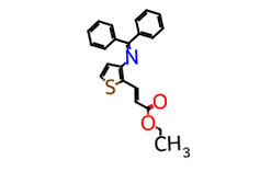 CCOC(=O)/C=C/c1sccc1N=C(c1ccccc1)c1ccccc1